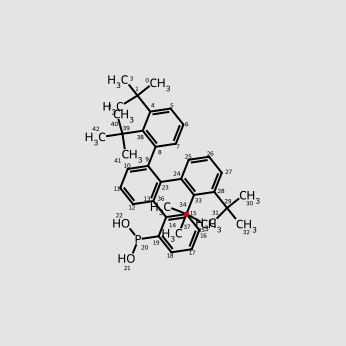 CC(C)(C)c1cccc(-c2cccc(-c3ccccc3P(O)O)c2-c2cccc(C(C)(C)C)c2C(C)(C)C)c1C(C)(C)C